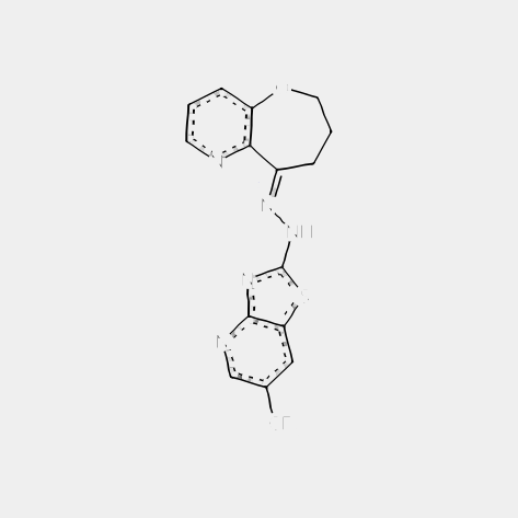 FC(F)(F)c1cnc2nc(N/N=C3\CCCOc4cccnc43)sc2c1